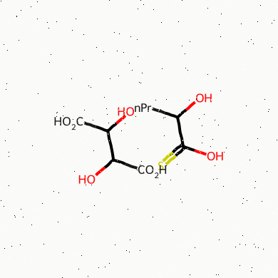 CCCC(O)C(O)=S.O=C(O)C(O)C(O)C(=O)O